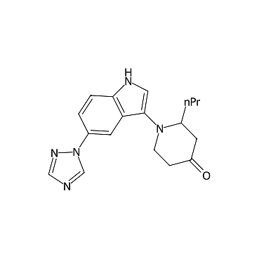 CCCC1CC(=O)CCN1c1c[nH]c2ccc(-n3cncn3)cc12